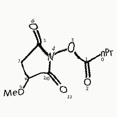 CCCC(=O)ON1C(=O)CC(OC)C1=O